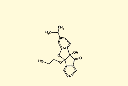 CC(C)c1ccc2c(c1)OC1(OCCO)c3ccccc3C(=O)C21O